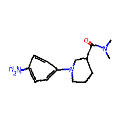 CN(C)C(=O)C1CCCN(c2ccc(N)cc2)C1